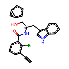 C#Cc1cccc(C(=O)N[C@@H](CO)Cc2c[nH]c3ccccc23)c1Br.c1cc2cc-2c1